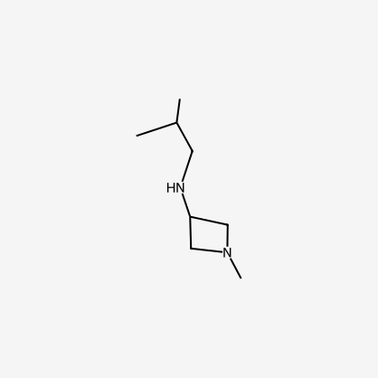 CC(C)CNC1CN(C)C1